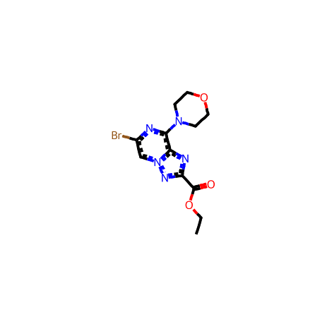 CCOC(=O)c1nc2c(N3CCOCC3)nc(Br)cn2n1